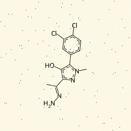 CC(=NN)c1nn(C)c(-c2ccc(Cl)c(Cl)c2)c1O